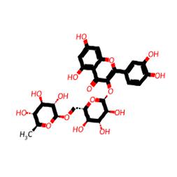 C[C@@H]1O[C@H](OC[C@@H]2O[C@H](Oc3c(-c4ccc(O)c(O)c4)oc4cc(O)cc(O)c4c3=O)[C@@H](O)[C@H](O)[C@H]2O)[C@@H](O)[C@H](O)[C@H]1O